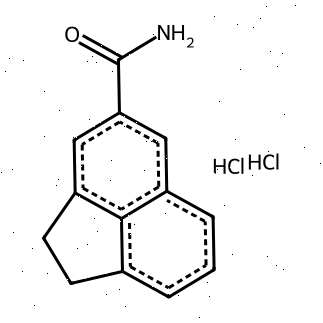 Cl.Cl.NC(=O)c1cc2c3c(cccc3c1)CC2